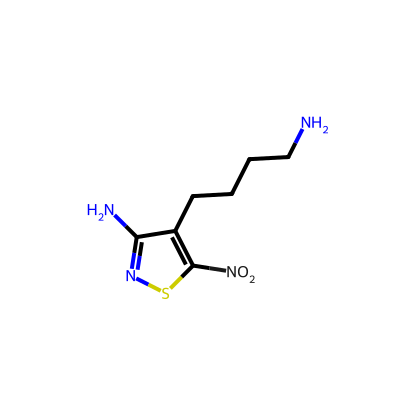 NCCCCc1c(N)nsc1[N+](=O)[O-]